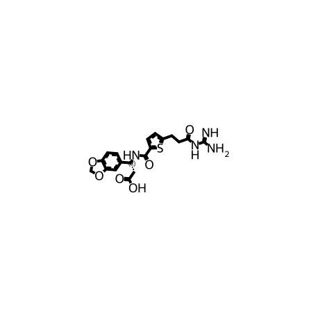 N=C(N)NC(=O)CCc1ccc(C(=O)N[C@H](CC(=O)O)c2ccc3c(c2)OCO3)s1